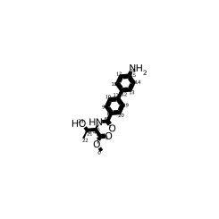 COC(=O)[C@H](NC(=O)c1ccc(-c2ccc(N)cc2)cc1)[C@@H](C)O